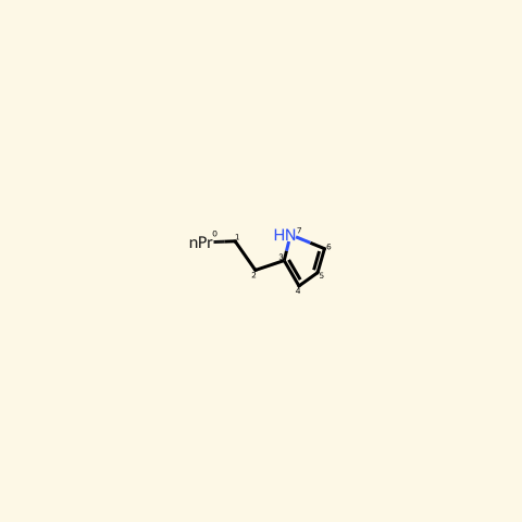 C[CH]CCCc1ccc[nH]1